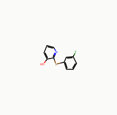 Oc1cccnc1Sc1cccc(F)c1